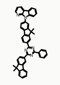 CC1(C)c2ccccc2-c2cc(-c3nc(-c4ccccc4)nc(-c4ccc5c(c4)C(C)(C)c4cc(-n6c7ccccc7c7cccnc76)ccc4-5)n3)ccc21